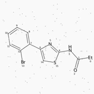 CCC(=O)Nc1nc(-c2ccccc2Br)cs1